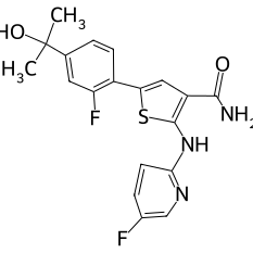 CC(C)(O)c1ccc(-c2cc(C(N)=O)c(Nc3ccc(F)cn3)s2)c(F)c1